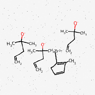 C=CCC(C)(C)[O-].C=CCC(C)(C)[O-].C=CCC(C)(C)[O-].CC1=[C]([Zr+3])CC=C1